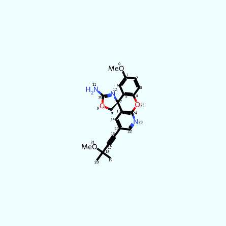 COc1ccc2c(c1)[C@]1(COC(N)=N1)c1cc(C#CC(C)(C)OC)cnc1O2